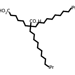 CC(C)CCCCCCCCCC(CCCCCCCCCC(C)C)(CCCCCC(=O)O)C(=O)O